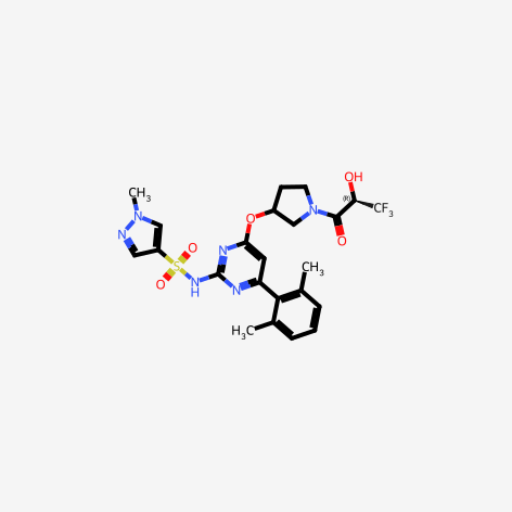 Cc1cccc(C)c1-c1cc(OC2CCN(C(=O)[C@@H](O)C(F)(F)F)C2)nc(NS(=O)(=O)c2cnn(C)c2)n1